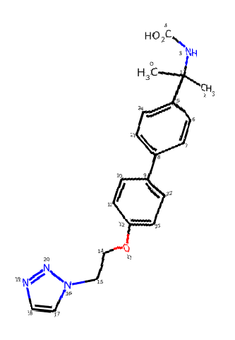 CC(C)(NC(=O)O)c1ccc(-c2ccc(OCCn3ccnn3)cc2)cc1